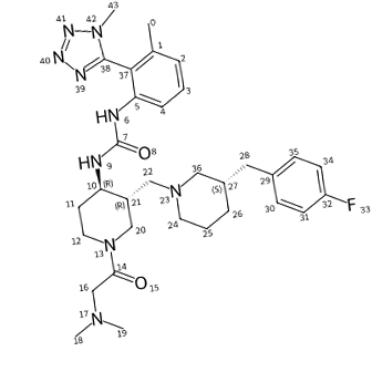 Cc1cccc(NC(=O)N[C@@H]2CCN(C(=O)CN(C)C)C[C@H]2CN2CCC[C@@H](Cc3ccc(F)cc3)C2)c1-c1nnnn1C